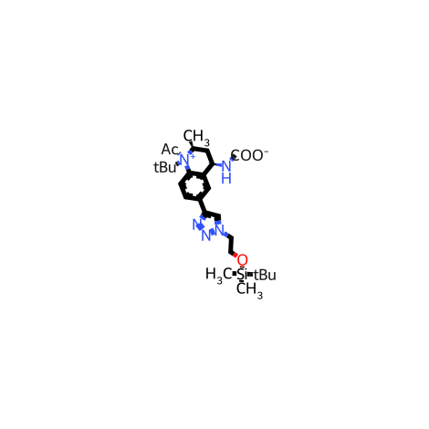 CC(=O)[N+]1(C(C)(C)C)c2ccc(-c3cn(CCO[Si](C)(C)C(C)(C)C)nn3)cc2[C@H](NC(=O)[O-])C[C@@H]1C